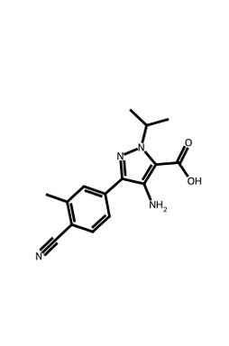 Cc1cc(-c2nn(C(C)C)c(C(=O)O)c2N)ccc1C#N